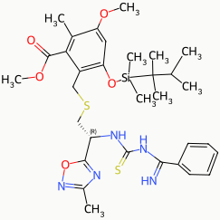 COC(=O)c1c(C)c(OC)cc(O[Si](C)(C)C(C)(C)C(C)C)c1CSC[C@H](NC(=S)NC(=N)c1ccccc1)c1nc(C)no1